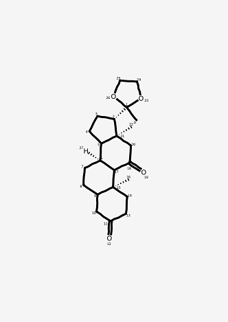 CC1([C@H]2CCC3[C@@H]4CCC5CC(=O)CC[C@]5(C)C4C(=O)C[C@@]32C)OCCO1